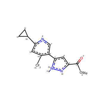 COC(=O)c1cc(-c2cnc(C3CC3)cc2C(F)(F)F)n(C)n1